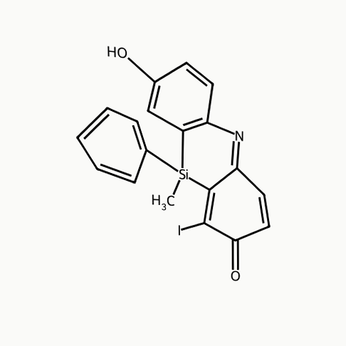 C[Si]1(c2ccccc2)C2=C(I)C(=O)C=CC2=Nc2ccc(O)cc21